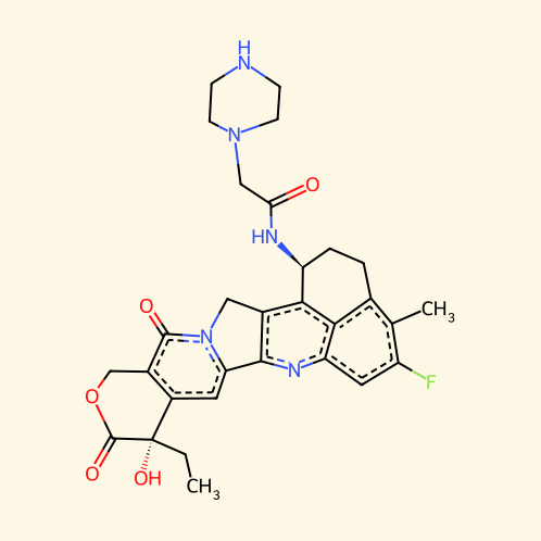 CC[C@@]1(O)C(=O)OCc2c1cc1n(c2=O)Cc2c-1nc1cc(F)c(C)c3c1c2[C@@H](NC(=O)CN1CCNCC1)CC3